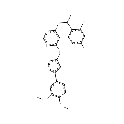 COc1ccc(-c2cc(Nc3cc(NC(C)c4ccc(F)cc4F)ncn3)n[nH]2)cc1OC